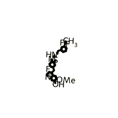 COc1cc2c(Cc3cc4sc(NCCc5cccc(C(C)(F)F)c5)nc4cc3F)ccnc2cc1O